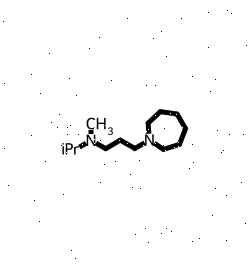 CC(C)N(C)CCCN1CCCCCC1